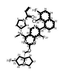 C=CC(=O)N1CC[C@@H](N(C)c2nc(OC[C@]34CCCN3C[C@@H](F)C4)nc3c(F)c(-c4cccc5ccc(F)c(Cl)c45)ncc23)C1